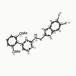 COc1cccc(OC)c1-c1cnnc(NCc2nc3cc(F)c(F)cc3s2)n1